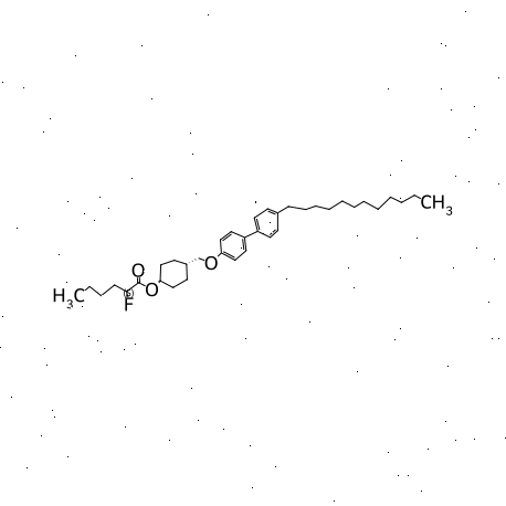 CCCCCCCCCCCCc1ccc(-c2ccc(OC[C@H]3CC[C@H](OC(=O)[C@@H](F)CCCC)CC3)cc2)cc1